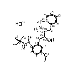 COc1ccc(C(=O)NC(C)(C)C)c(C[C@H](O)[C@H](N)Cc2ccccc2F)c1.Cl